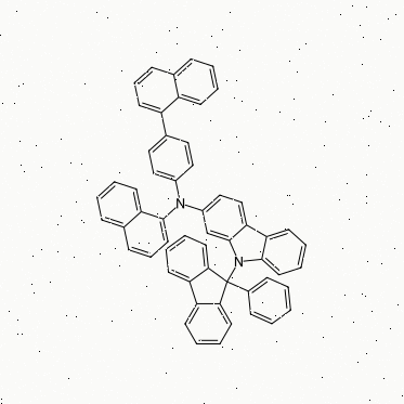 c1ccc(C2(n3c4ccccc4c4ccc(N(c5ccc(-c6cccc7ccccc67)cc5)c5cccc6ccccc56)cc43)c3ccccc3-c3ccccc32)cc1